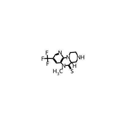 CN1C(=S)[C@H]2CNCCN2c2ncc(C(F)(F)F)cc21